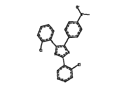 C[S+]([O-])c1ccc(-c2sc(-c3ccccc3Cl)nc2-c2ccccc2Cl)cc1